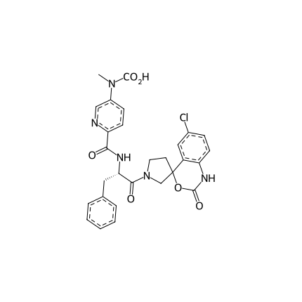 CN(C(=O)O)c1ccc(C(=O)N[C@@H](Cc2ccccc2)C(=O)N2CCC3(C2)OC(=O)Nc2ccc(Cl)cc23)nc1